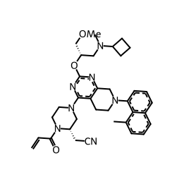 C=CC(=O)N1CCN(c2nc(O[C@H](COC)CN(C)C3CCC3)nc3c2CCN(c2cccc4cccc(C)c24)C3)C[C@@H]1CC#N